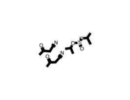 CC(=O)CC#N.CC(=O)CC#N.CC(C)[O][Ti](=[O])[O]C(C)C